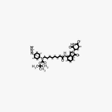 CC(C)(C)OC(=O)N(CCCCCCCC(=O)Nc1cccc2c1CN(C1CCC(=O)NC1=O)C2=O)[C@H]1CC[C@@H](N=[N+]=[N-])CC1